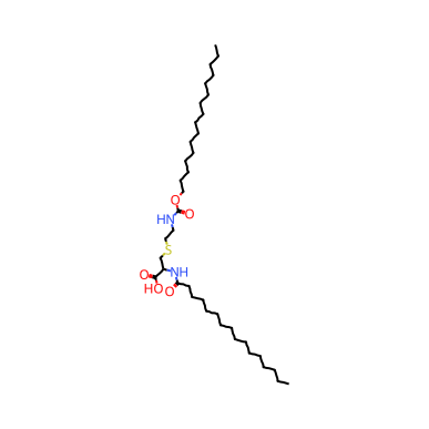 CCCCCCCCCCCCCCCCOC(=O)NCCSCC(NC(=O)CCCCCCCCCCCCCCC)C(=O)O